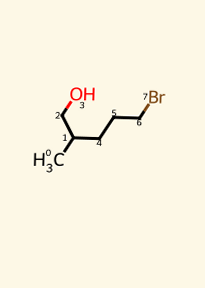 CC(CO)CCCBr